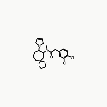 CN(C(=O)Cc1ccc(Cl)c(Cl)c1)C1CC2(CCCC1N1CC=CC1)OCCO2